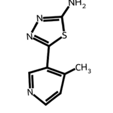 Cc1ccncc1-c1nnc(N)s1